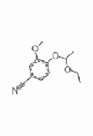 CCOC(C)Oc1ccc(C#N)cc1OC